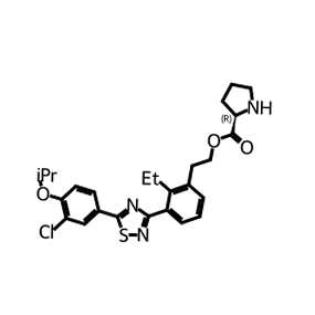 CCc1c(CCOC(=O)[C@H]2CCCN2)cccc1-c1nsc(-c2ccc(OC(C)C)c(Cl)c2)n1